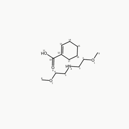 COCCNCCOC.O=C(O)C1=CCCCC1